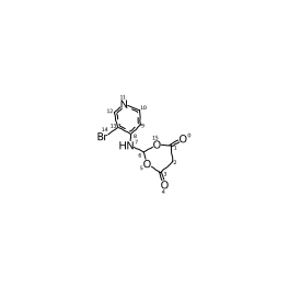 O=C1CC(=O)OC(Nc2ccncc2Br)O1